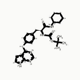 CC(C)(C)OC(=O)N[C@@H](Cc1ccc(Oc2ncnc3[nH]ccc23)cc1)C(=O)NC1CCCCC1